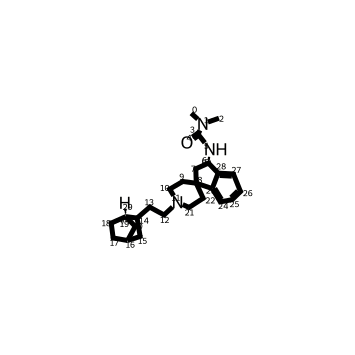 CN(C)C(=O)N[C@H]1CC2(CCN(CCC3CC4CC[C@@H]3C4)CC2)c2ccccc21